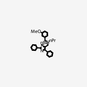 CCCCn1c(-c2ccccc2)nc(-c2ccccc2)c1CN(CCC)Cc1cccc(OC)c1